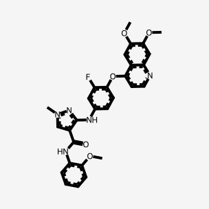 COc1ccccc1NC(=O)c1cn(C)nc1Nc1ccc(Oc2ccnc3cc(OC)c(OC)cc23)c(F)c1